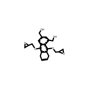 OCc1cc(CO)c2c(OCC3CO3)c3c(c(OCC4CO4)c2c1)CC=CC3